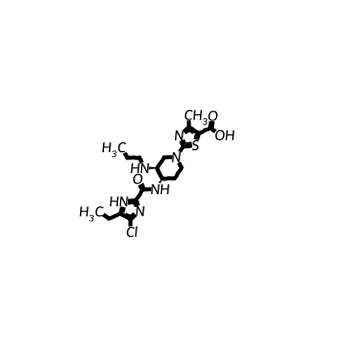 CCCN[C@H]1CN(c2nc(C)c(C(=O)O)s2)CC[C@@H]1NC(=O)c1nc(Cl)c(CC)[nH]1